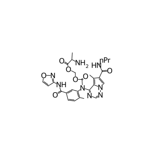 CCCNC(=O)c1cn2ncnc(N(C(=O)OCOC(=O)C(C)N)c3cc(C(=O)Nc4ccon4)ccc3C)c2c1C